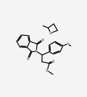 CC1CCO1.COC(=O)CC(c1ccc(OC)cc1)N1C(=O)c2ccccc2C1=O